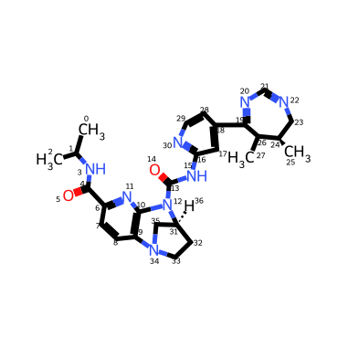 CC(C)NC(=O)c1ccc2c(n1)N(C(=O)Nc1cc(C3=NC=NC[C@@H](C)C3C)ccn1)[C@H]1CCN2C1